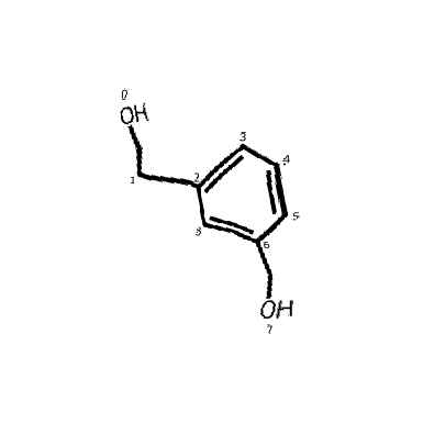 OCc1c[c]cc(O)c1